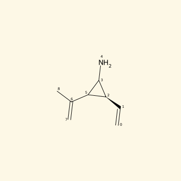 C=C[C@@H]1C(N)C1C(=C)C